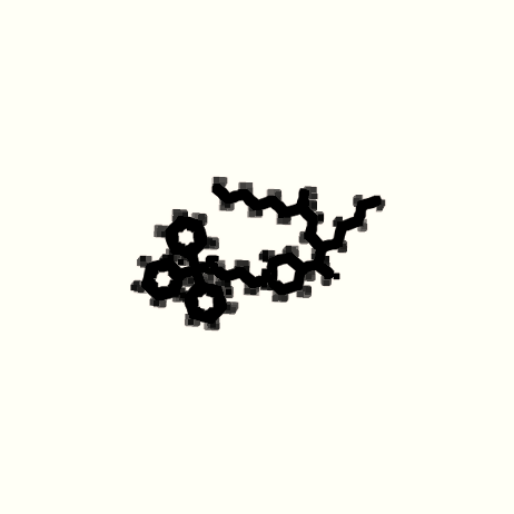 [CH2]C(C(CCCCC)CCC(C)CCCCCC)C1CCN(CCCSC(c2ccccc2)(c2ccccc2)c2ccccc2)CC1